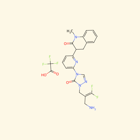 CN1C(=O)C(c2cccc(-n3cnn(CC(CN)=C(F)F)c3=O)n2)Cc2ccccc21.O=C(O)C(F)(F)F